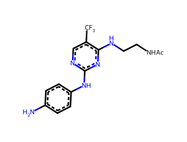 CC(=O)NCCNc1nc(Nc2ccc(N)cc2)ncc1C(F)(F)F